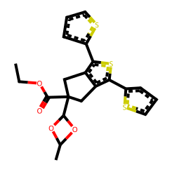 CCOC(=O)C1(C2OC(C)O2)Cc2c(-c3cccs3)sc(-c3cccs3)c2C1